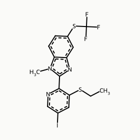 CCSc1cc(I)cnc1-c1nc2cc(SC(F)(F)F)ccc2n1C